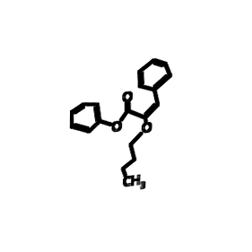 CCCCO/C(=C/c1ccccc1)C(=O)Oc1ccccc1